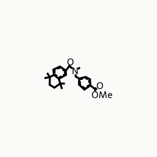 COC(=O)c1ccc(CN(C)C(=O)c2ccc3c(c2)C(C)(C)CCC3(C)C)cc1